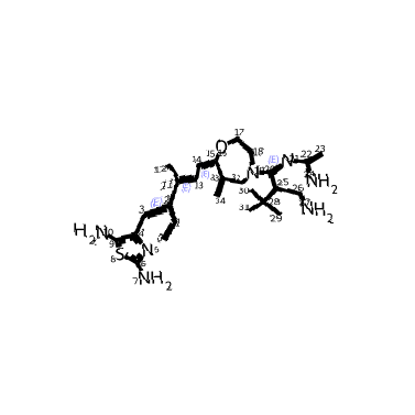 C=CC(=C\c1nc(N)sc1N)/C(C)=C/C=C1/OCCN(/C(=N/C(=C)N)C(CN)C(C)(C)C)CC1=C